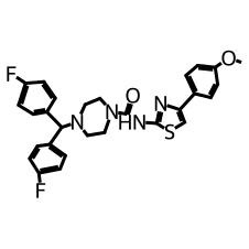 COc1ccc(-c2csc(NC(=O)N3CCN(C(c4ccc(F)cc4)c4ccc(F)cc4)CC3)n2)cc1